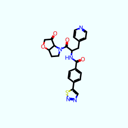 O=C(NC(Cc1ccncc1)C(=O)N1CCC2OCC(=O)C21)c1ccc(-c2cnns2)cc1